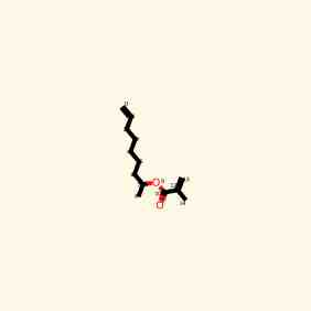 C=CCCCCCC(C)OC(=O)C(=C)C